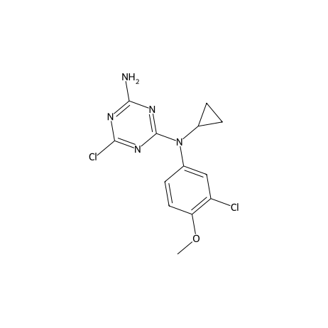 COc1ccc(N(c2nc(N)nc(Cl)n2)C2CC2)cc1Cl